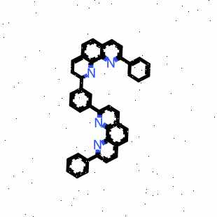 C1=CCCC(c2ccc3ccc4c(c3n2)=NC(c2cccc(-c3ccc5ccc6ccc(-c7ccccc7)nc6c5n3)c2)CC=4)=C1